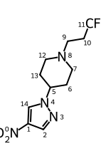 O=[N+]([O-])c1cnn(C2CCN(CCC(F)(F)F)CC2)c1